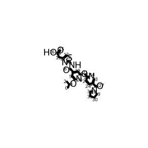 CC(C)Oc1cc(C(=O)Nc2nc(CC(=O)O)cs2)cc(Oc2ccc(C(=O)N3CCCC3)cn2)n1